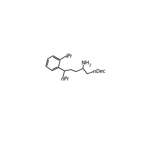 CCCCCCCCCCCC(N)CCC(CCC)c1ccccc1C(C)C